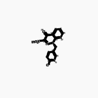 CCOC(=O)c1nn(Cc2ccc(Cl)nc2)c2ncccc2c1=O